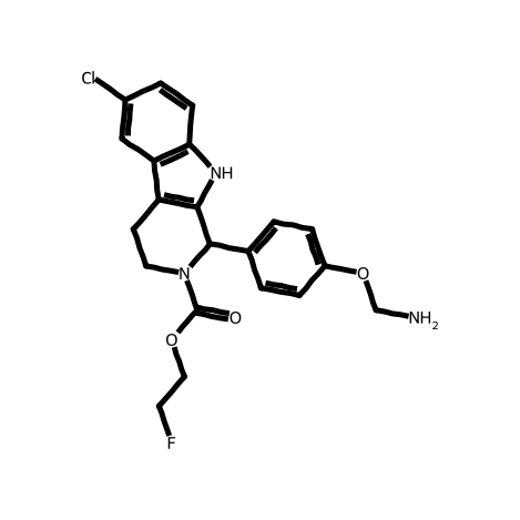 NCOc1ccc(C2c3[nH]c4ccc(Cl)cc4c3CCN2C(=O)OCCF)cc1